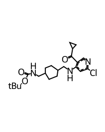 CC(C)(C)OC(=O)NCC1CCC(CNc2cc(Cl)ncc2C(=O)C2CC2)CC1